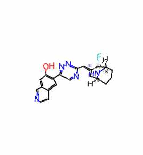 Oc1cc2cnccc2cc1-c1cnc(/C=C2\C[C@H]3CCC[C@H](N3)[C@H]2F)nn1